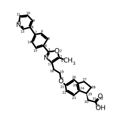 Cc1oc(-c2ccc(-c3cccnc3)cc2)nc1CCOc1ccc2c(c1)CC[C@H]2CC(=O)O